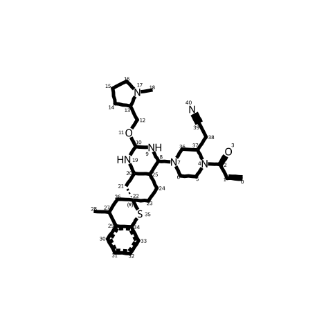 C=CC(=O)N1CCN(C2NC(OCC3CCCN3C)NC3C[C@@]4(CCC32)CC(C)c2ccccc2S4)CC1CC#N